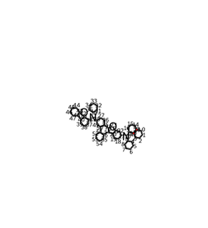 c1ccc(-c2ccccc2N(c2ccccc2)c2ccc3c(c2)oc2c4ccc(N(c5ccccc5)c5cccc6c5oc5ccccc56)cc4c4ccccc4c32)cc1